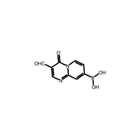 O=Cc1cnc2cc(B(O)O)ccn2c1=O